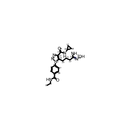 CCNC(=O)c1ccc(-n2nnc(C(=O)NC3CC3)c2CCC/C(N)=N/O)cc1